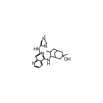 CC1CC2CC(CC(C)(O)C2)C1Nc1nc(Nc2cn(C)cn2)cc2ncccc12